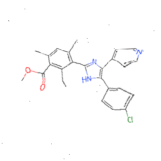 COC(=O)c1c(C)cc(C)c(-c2nc(-c3ccncc3)c(-c3ccc(Cl)cc3)[nH]2)c1C